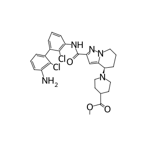 COC(=O)C1CCN([C@@H]2CCCn3nc(C(=O)Nc4cccc(-c5cccc(N)c5Cl)c4Cl)cc32)CC1